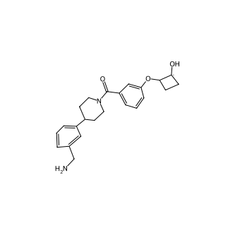 NCc1cccc(C2CCN(C(=O)c3cccc(OC4CC[C]4O)c3)CC2)c1